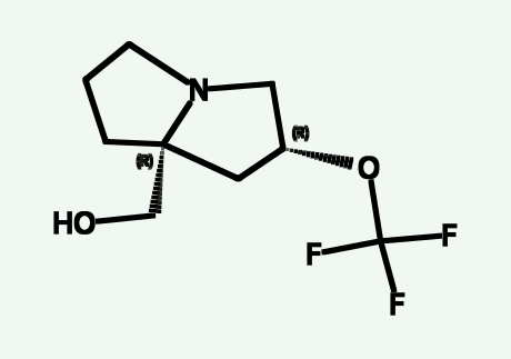 OC[C@]12CCCN1C[C@H](OC(F)(F)F)C2